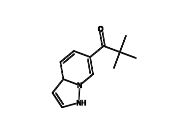 CC(C)(C)C(=O)C1=CN2NC=CC2C=C1